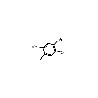 CCCc1cc(CCC)c(O)cc1C